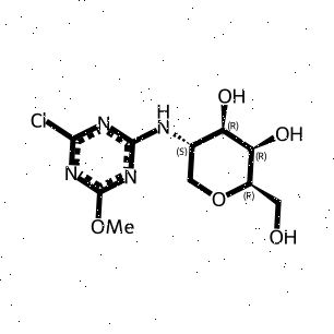 COc1nc(Cl)nc(N[C@H]2CO[C@H](CO)[C@H](O)[C@@H]2O)n1